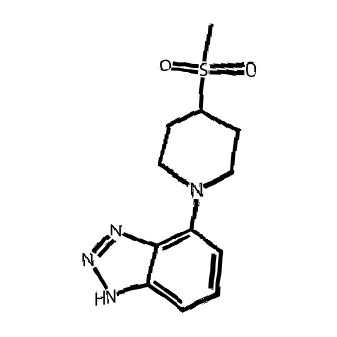 CS(=O)(=O)C1CCN(c2cccc3[nH]nnc23)CC1